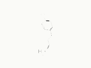 C=CCCc1ccc([O])cc1